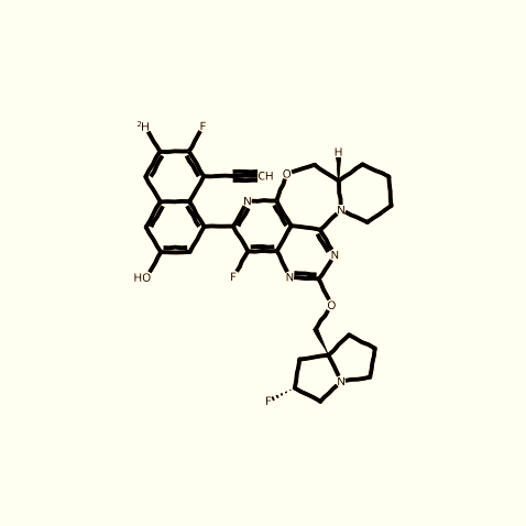 [2H]c1cc2cc(O)cc(-c3nc4c5c(nc(OC[C@@]67CCCN6C[C@H](F)C7)nc5c3F)N3CCCC[C@H]3CO4)c2c(C#C)c1F